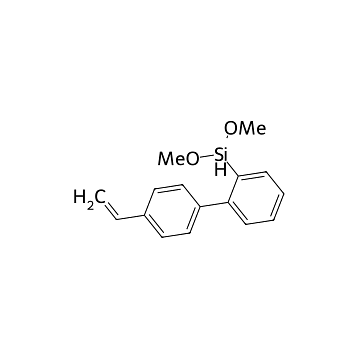 C=Cc1ccc(-c2ccccc2[SiH](OC)OC)cc1